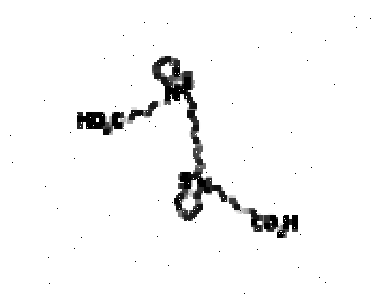 O=C(O)CCCCCN1/C(=C/C=C/C=C/C=C/c2sc3ccccc3[n+]2CCCCCC(=O)O)Sc2ccccc21